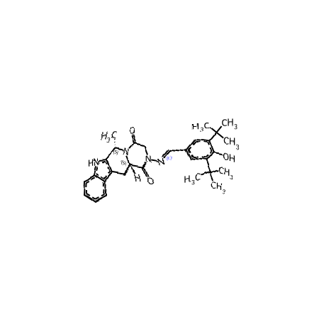 C[C@H]1c2[nH]c3ccccc3c2C[C@H]2C(=O)N(/N=C/c3cc(C(C)(C)C)c(O)c(C(C)(C)C)c3)CC(=O)N21